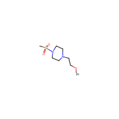 CC(C)OCCN1CCN(S(C)(=O)=O)CC1